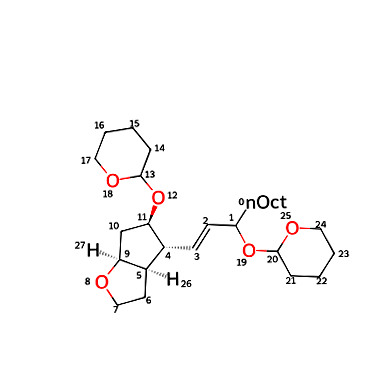 CCCCCCCCC(/C=C/[C@@H]1[C@H]2CCO[C@H]2C[C@H]1OC1CCCCO1)OC1CCCCO1